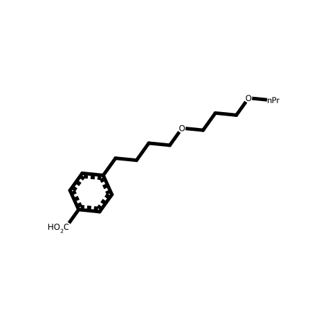 CCCOCCCOCCCCc1ccc(C(=O)O)cc1